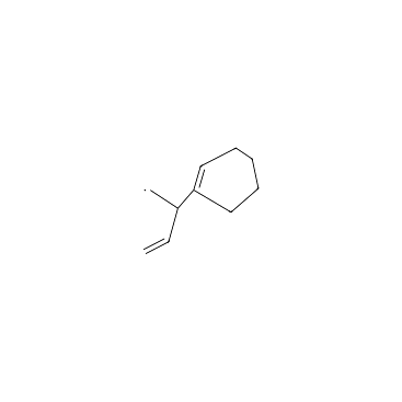 [CH2]C(C=C)C1=CCCCC1